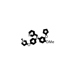 COc1ccc(N(Cc2cccnc2)c2ccc(OC3CCN(C)C3)cc2)cc1OC1CCCC1